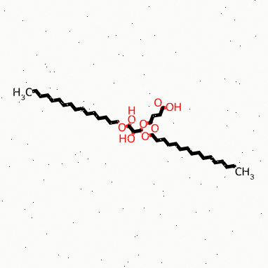 CCCCCCCCCCCCCCCCOC(O)C(O)C(OCCCCCCCCCCCCCCCC)OC(=O)CCC(=O)O